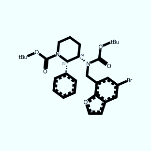 CC(C)(C)OC(=O)N(Cc1cc(Br)cc2ccoc12)[C@H]1CCCN(C(=O)OC(C)(C)C)[C@H]1c1ccccc1